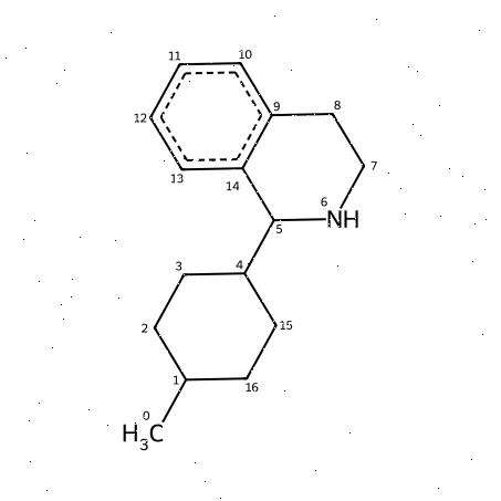 CC1CCC(C2NCCc3ccccc32)CC1